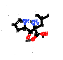 CC(C)CC(N)(C(=O)O)C(=O)C1CCCN1